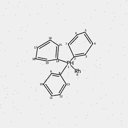 [Rh][PH](c1ccccc1)(c1ccccc1)c1ccccc1